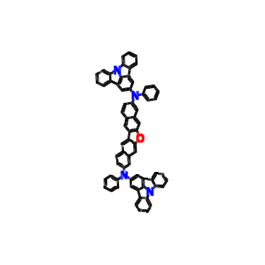 c1ccc(N(c2ccc3cc4c(cc3c2)oc2cc3cc(N(c5ccccc5)c5cc6c7ccccc7n7c8ccccc8c(c5)c67)ccc3cc24)c2cc3c4ccccc4n4c5ccccc5c(c2)c34)cc1